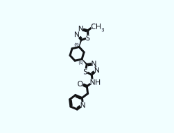 Cc1nnc([C@@H]2CCC[C@H](c3nnc(NC(=O)Cc4ccccn4)s3)C2)s1